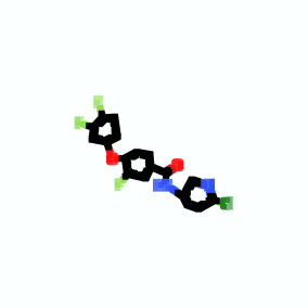 O=C(Nc1ccc(Cl)nc1)c1ccc(Oc2ccc(F)c(F)c2)c(F)c1